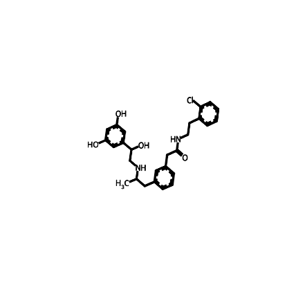 CC(Cc1cccc(CC(=O)NCCc2ccccc2Cl)c1)NCC(O)c1cc(O)cc(O)c1